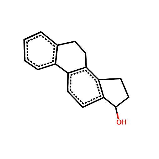 OC1CCc2c1ccc1c2CCc2ccccc2-1